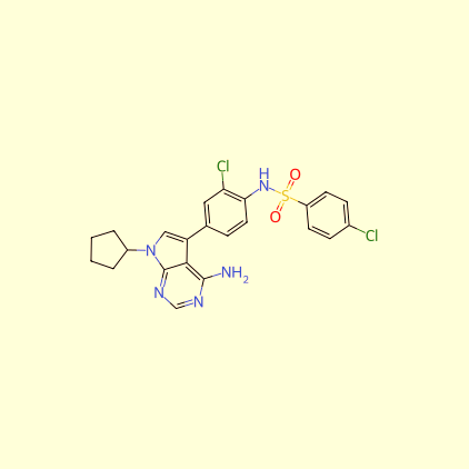 Nc1ncnc2c1c(-c1ccc(NS(=O)(=O)c3ccc(Cl)cc3)c(Cl)c1)cn2C1CCCC1